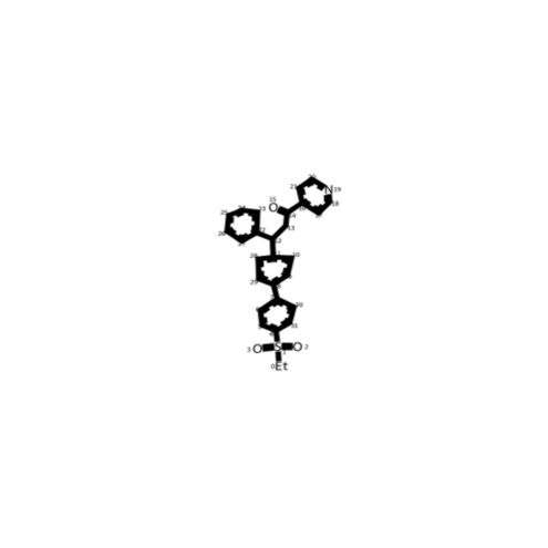 CCS(=O)(=O)c1ccc(-c2ccc(C(CC(=O)c3ccncc3)c3ccccc3)cc2)cc1